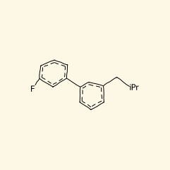 CC(C)Cc1cccc(-c2cccc(F)c2)c1